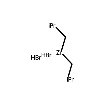 Br.Br.CC(C)[CH2][Zr][CH2]C(C)C